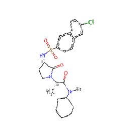 CCN(C(=O)[C@H](C)N1CC[C@H](NS(=O)(=O)c2ccc3cc(Cl)ccc3c2)C1=O)C1CCCCC1